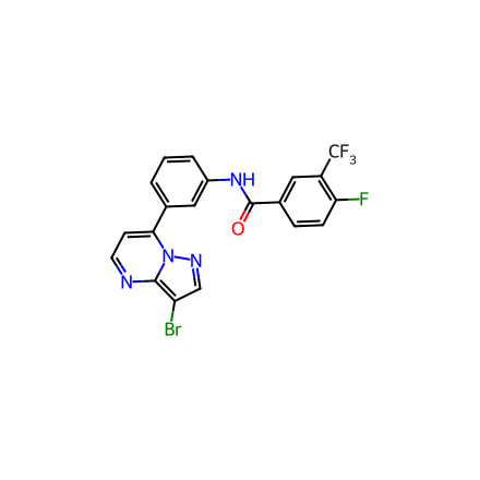 O=C(Nc1cccc(-c2ccnc3c(Br)cnn23)c1)c1ccc(F)c(C(F)(F)F)c1